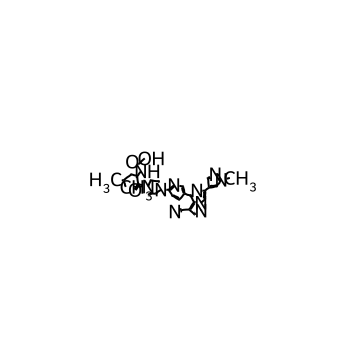 CC(C)CC(NC(=O)O)C(=O)N1CCN(c2ccc(-c3nc(-c4cnn(C)c4)cn4ncc(C#N)c34)cn2)CC1